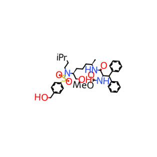 COC(=O)N[C@H](C(=O)N[C@H](C)CCC[C@@H](CO)N(CCC(C)C)S(=O)(=O)c1ccc(CO)cc1)C(c1ccccc1)c1ccccc1